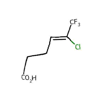 O=C(O)CCC=C(Cl)C(F)(F)F